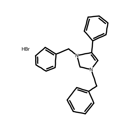 Br.C1=C(c2ccccc2)N(Cc2ccccc2)CN1Cc1ccccc1